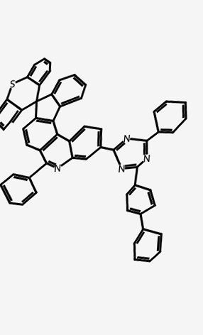 c1ccc(-c2ccc(-c3nc(-c4ccccc4)nc(-c4ccc5c(c4)nc(-c4ccccc4)c4ccc6c(c45)-c4ccccc4C64c5ccccc5Sc5ccccc54)n3)cc2)cc1